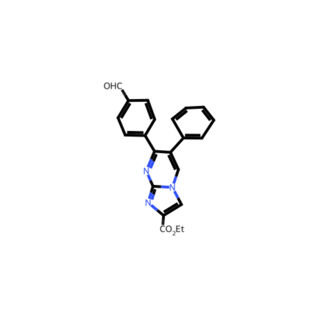 CCOC(=O)c1cn2cc(-c3ccccc3)c(-c3ccc(C=O)cc3)nc2n1